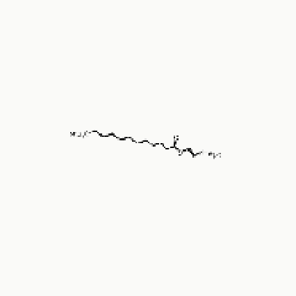 CCCCCCCC=COC(=O)CCCCCCCCCCC(=O)O